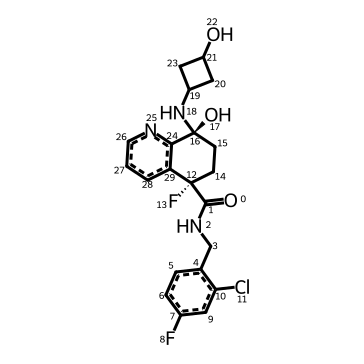 O=C(NCc1ccc(F)cc1Cl)[C@]1(F)CC[C@@](O)(NC2CC(O)C2)c2ncccc21